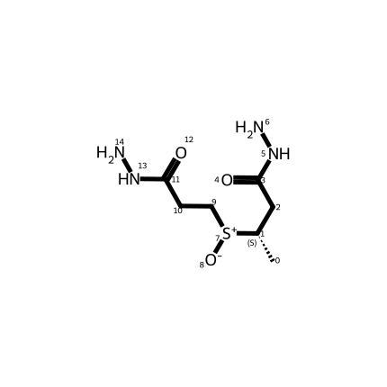 C[C@@H](CC(=O)NN)[S+]([O-])CCC(=O)NN